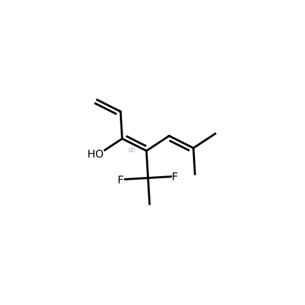 C=C/C(O)=C(\C=C(C)C)C(C)(F)F